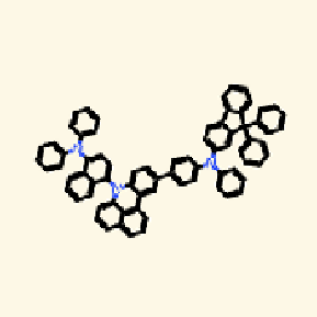 c1ccc(N(c2ccc(-c3ccc4c(c3)-c3cccc5cccc(c35)N4c3ccc(N(c4ccccc4)c4ccccc4)c4ccccc34)cc2)c2ccc3c(c2)C(c2ccccc2)(c2ccccc2)c2ccccc2-3)cc1